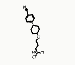 N#Cc1ccc([C@H]2CC[C@H](OCCC[SiH](Cl)Cl)CC2)cc1